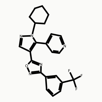 FC(F)(F)c1cccc(-c2noc(-c3cnn(C4CCCCC4)c3-c3ccncc3)n2)c1